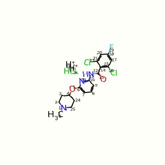 CN1CCC(Oc2cccc(NC(=O)c3c(Cl)cc(F)cc3Cl)n2)CC1.Cl.[H+].[H+]